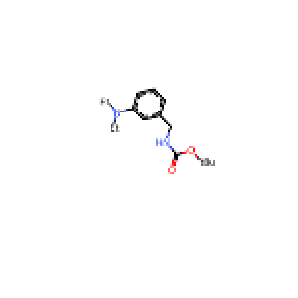 CCN(CC)c1cccc(CNC(=O)OC(C)(C)C)c1